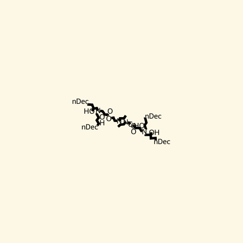 CCCCCCCCCCCCC(O)CN(CCC(=O)OCCN1CC(C)N(CCOC(=O)CCN(CC(O)CCCCCCCCCCCC)CC(O)CCCCCCCCCCCC)CC1C)CC(O)CCCCCCCCCCCC